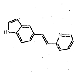 C(=Cc1ccccn1)c1ccc2[nH]ccc2c1